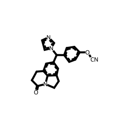 N#COc1ccc(C(c2cc3c4c(c2)CCN4C(=O)CC3)n2ccnc2)cc1